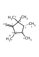 CC1[C@@H](C)C(C)(C)C(=S)N1C